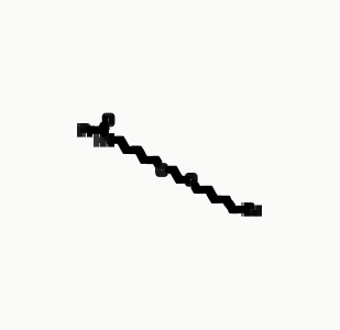 CCC(C)CCCCCOCCOCCCCCNC(=O)C(C)C